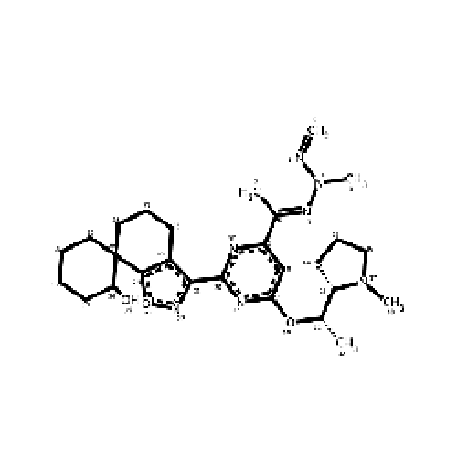 C=NN(C)/N=C(\C)c1cc(O[C@@H](C)[C@@H]2CCCN2C)nc(-c2noc3c2CCC[C@@]32CCCCC2O)n1